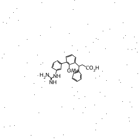 COc1c(-c2cccc(NC(=N)N)c2)cccc1C(CC(=O)O)c1ccccc1